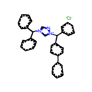 [Cl-].c1ccc(-c2ccc(C(c3ccccc3)[n+]3cn(C(c4ccccc4)c4ccccc4)cn3)cc2)cc1